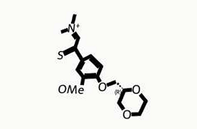 COc1cc(C(=S)C=[N+](C)C)ccc1OC[C@H]1COCCO1